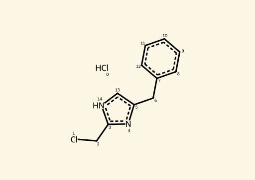 Cl.ClCc1nc(Cc2ccccc2)c[nH]1